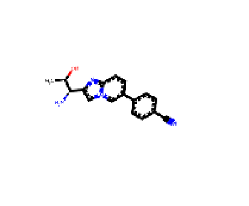 C[C@@H](O)[C@H](N)c1cn2cc(-c3ccc(C#N)cc3)ccc2n1